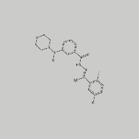 C/C(=N\NC(=O)c1cccc([S+]([O-])N2CCOCC2)c1)c1cc(Cl)ccc1Cl